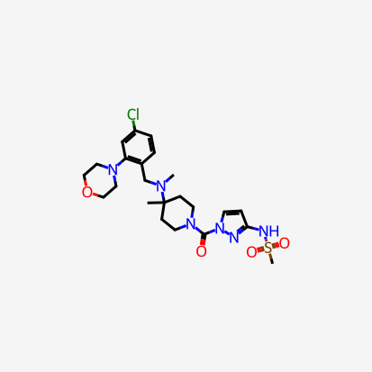 CN(Cc1ccc(Cl)cc1N1CCOCC1)C1(C)CCN(C(=O)n2ccc(NS(C)(=O)=O)n2)CC1